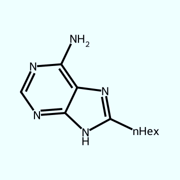 CCCCCCc1nc2c(N)ncnc2[nH]1